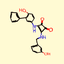 O=c1c(NCc2cccc(O)c2)c(Nc2ccc(O)c(-c3ccccc3)c2)c1=O